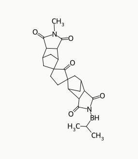 CC(C)BN1C(=O)C2C3CC(C2C1=O)C1(CCC2(CC4CC2C2C(=O)N(C)C(=O)C42)C1=O)C3